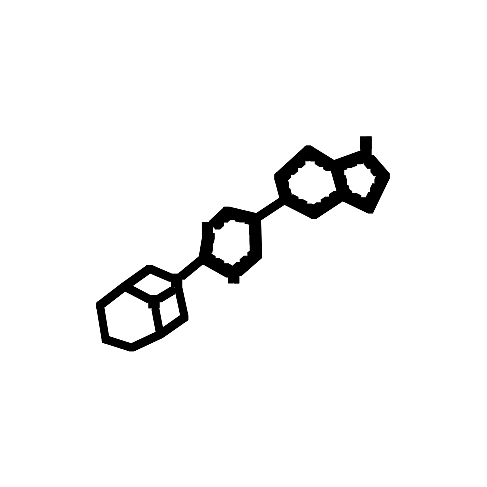 CN1C2CCCC1CN(c1ncc(-c3ccc4[nH]ccc4c3)cn1)C2